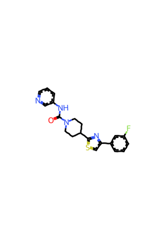 O=C(Nc1cccnc1)N1CCC(c2nc(-c3cccc(F)c3)cs2)CC1